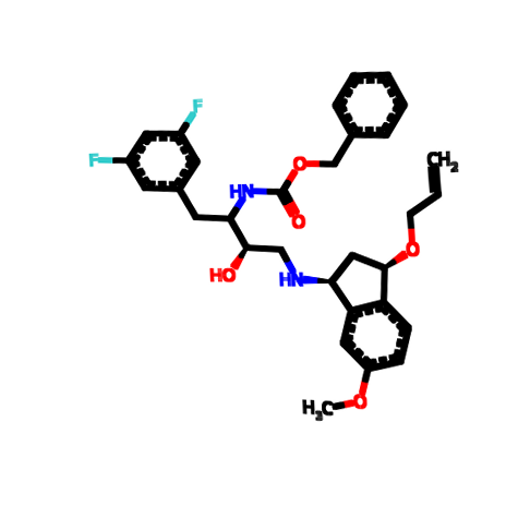 C=CCO[C@@H]1C[C@H](NC[C@@H](O)C(Cc2cc(F)cc(F)c2)NC(=O)OCc2ccccc2)c2cc(OC)ccc21